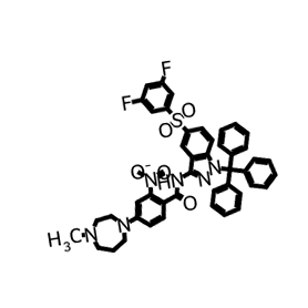 CN1CCCN(c2ccc(C(=O)Nc3nn(C(c4ccccc4)(c4ccccc4)c4ccccc4)c4ccc(S(=O)(=O)c5cc(F)cc(F)c5)cc34)c([N+](=O)[O-])c2)CC1